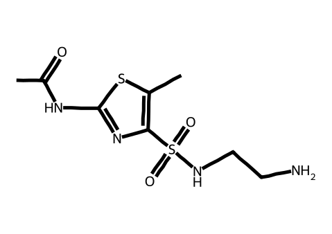 CC(=O)Nc1nc(S(=O)(=O)NCCN)c(C)s1